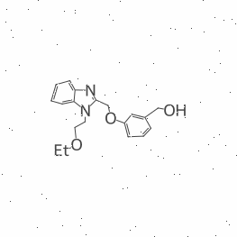 CCOCCn1c(COc2cccc(CO)c2)nc2ccccc21